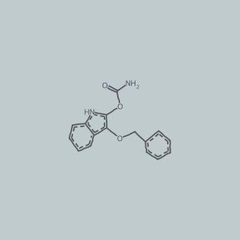 NC(=O)Oc1[nH]c2ccccc2c1OCc1ccccc1